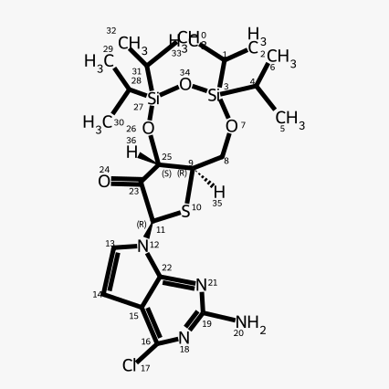 CC(C)[Si]1(C(C)C)OC[C@H]2S[C@@H](n3ccc4c(Cl)nc(N)nc43)C(=O)[C@@H]2O[Si](C(C)C)(C(C)C)O1